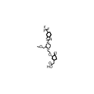 CCOC[C@H]1CN(c2nc3ccc(C(F)(F)F)cc3s2)CCN1CCOc1cc(CC(=O)O)ccc1Cl